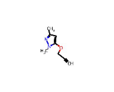 C#CCOc1cc(C)nn1C